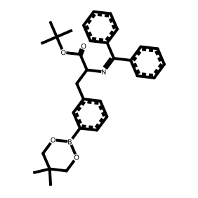 CC1(C)COB(c2cccc(CC(N=C(c3ccccc3)c3ccccc3)C(=O)OC(C)(C)C)c2)OC1